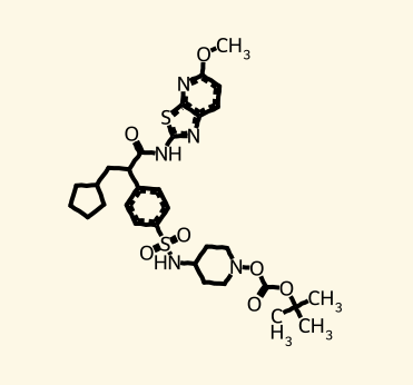 COc1ccc2nc(NC(=O)C(CC3CCCC3)c3ccc(S(=O)(=O)NC4CCN(OC(=O)OC(C)(C)C)CC4)cc3)sc2n1